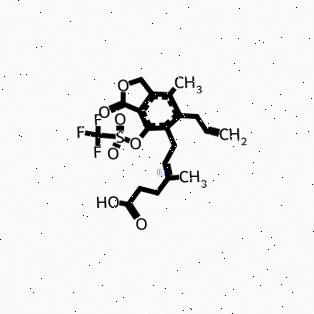 C=CCc1c(C)c2c(c(OS(=O)(=O)C(F)(F)F)c1C/C=C(\C)CCC(=O)O)C(=O)OC2